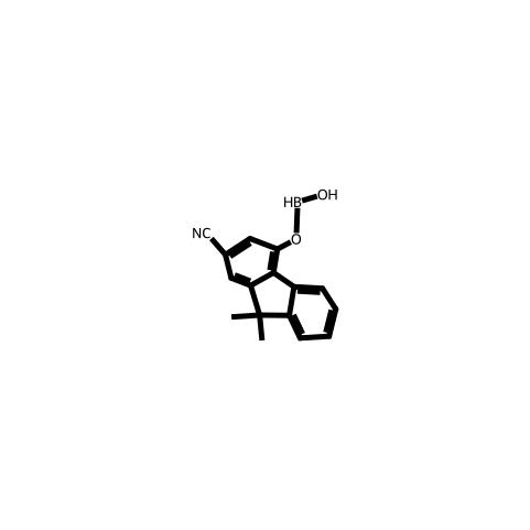 CC1(C)c2ccccc2-c2c(OBO)cc(C#N)cc21